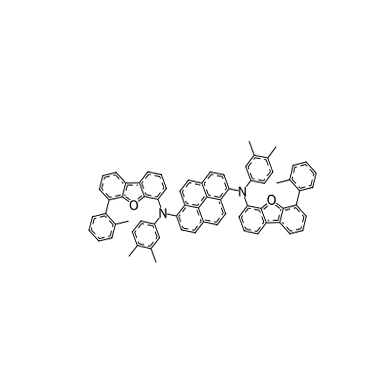 Cc1ccc(N(c2ccc3ccc4c(N(c5ccc(C)c(C)c5)c5cccc6c5oc5c(-c7ccccc7C)cccc56)ccc5ccc2c3c54)c2cccc3c2oc2c(-c4ccccc4C)cccc23)cc1C